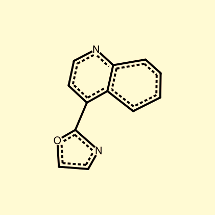 c1ccc2c(-c3ncco3)ccnc2c1